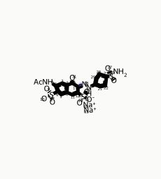 CC(=O)Nc1cc2c(cc1S(=O)(=O)[O-])C=C(S(=O)(=O)[O-])/C(=N\Nc1ccc(S(N)(=O)=O)cc1)C2=O.[Na+].[Na+]